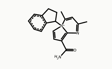 CC1=CC(C)=NC2=C(C(N)=O)C=C[N+]12C1CCc2ccccc21